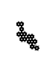 c1ccc2c(-c3ccc(-c4c5ccccc5c(-c5cccc6ccc(-c7ccc8cccc(-c9c%10ccccc%10c(-c%10cccc%11c%10oc%10ccccc%10%11)c%10ccccc9%10)c8c7)cc56)c5ccccc45)cc3)cccc2c1